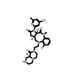 Cc1cc(C(F)(F)F)cc(N2C(=O)C[C@@H]3CN(CCN4CCN5CCNC[C@H]5C4=O)c4c(F)cccc4N(C)C(=O)[C@H]32)n1